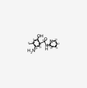 Cc1cc(O)c(C(=O)Nc2ccccn2)cc1N